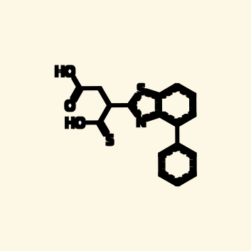 O=C(O)CC(C(O)=S)c1nc2c(-c3ccccc3)cccc2s1